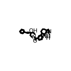 O=C(c1ccc2[nH]c3c(c2c1)CCCc1cn[nH]c1-3)N1CCC(O)(C#Cc2ccccc2)CC1